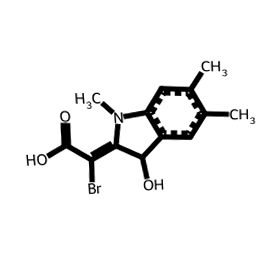 Cc1cc2c(cc1C)N(C)C(=C(Br)C(=O)O)C2O